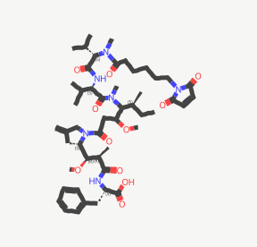 C=C1C[C@@H]([C@H](OC)[C@@H](C)C(=O)N[C@@H](Cc2ccccc2)C(=O)O)N(C(=O)CC(OC)C([C@@H](C)CC)N(C)C(=O)[C@@H](NC(=O)[C@H](C(C)C)N(C)C(=O)CCCCCN2C(=O)C=CC2=O)C(C)C)C1